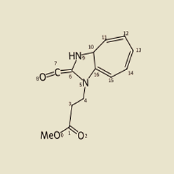 COC(=O)CCN1C(=C=O)NC2C=CC=CC=C21